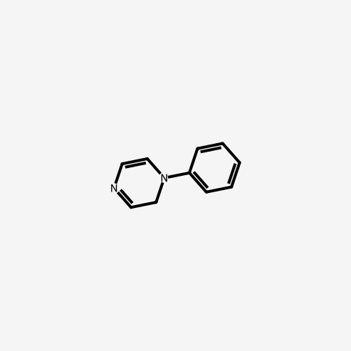 C1=CN(c2ccccc2)CC=N1